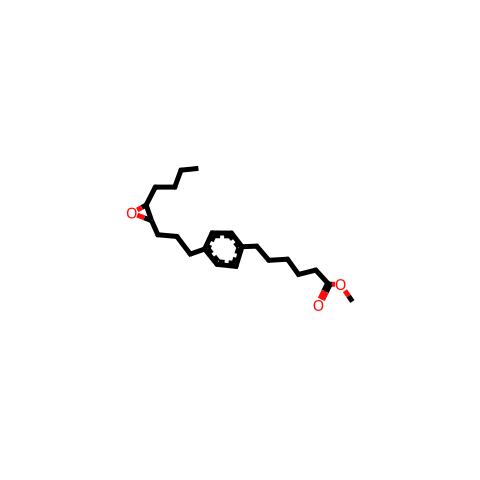 CCCCC1OC1CCCc1ccc(CCCCCC(=O)OC)cc1